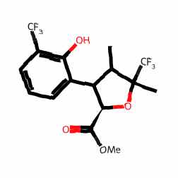 COC(=O)[C@@H]1OC(C)(C(F)(F)F)C(C)C1c1cccc(C(F)(F)F)c1O